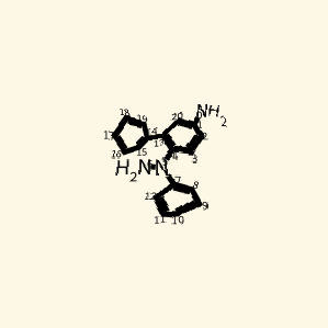 Nc1ccc(N(N)c2ccccc2)c(-c2ccccc2)c1